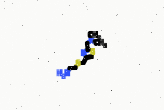 CN(C)Cc1nc(CSCCN)cs1